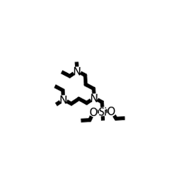 CCO[Si](C)(CN(CCCN(C)CC)CCCN(C)CC)OCC